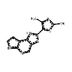 Cc1nc(C)c(-c2nc3cnc4[nH]ccc4c3[nH]2)s1